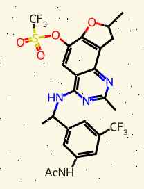 CC(=O)Nc1cc(C(C)Nc2nc(C)nc3c4c(c(OS(=O)(=O)C(F)(F)F)cc23)OC(C)C4)cc(C(F)(F)F)c1